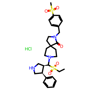 CCS(=O)(=O)C([C@@H]1CNC[C@@H]1c1ccccc1)N1CCC2(CCN(Cc3ccc(S(C)(=O)=O)cc3)C2=O)CC1.Cl